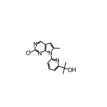 Cc1cc2cnc(Cl)nc2n1-c1cccc(C(C)(C)O)n1